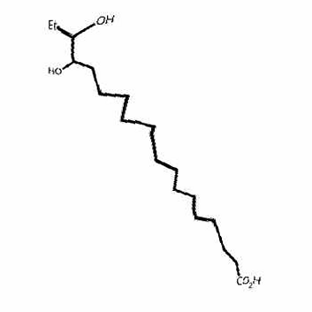 CCC(O)C(O)CCCCCCCCCCCCCC(=O)O